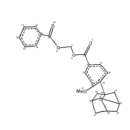 COc1cc(C(=O)OCOC(=O)c2ccccc2)ccc1C12CC3CC(CC(C3)C1)C2